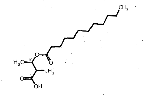 CCCCCCCCCCCC(=O)O[C@H](C)C(C)C(=O)O